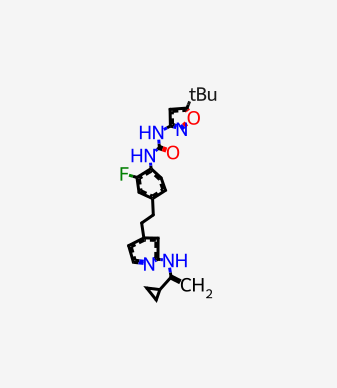 C=C(Nc1cc(CCc2ccc(NC(=O)Nc3cc(C(C)(C)C)on3)c(F)c2)ccn1)C1CC1